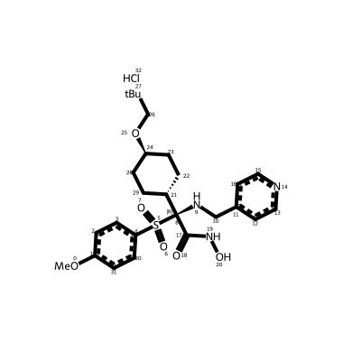 COc1ccc(S(=O)(=O)[C@@](NCc2ccncc2)(C(=O)NO)[C@H]2CC[C@H](OCC(C)(C)C)CC2)cc1.Cl